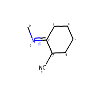 C/N=C1\CCCCC1C#N